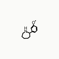 COc1cccc(C2CCCCCN2)c1